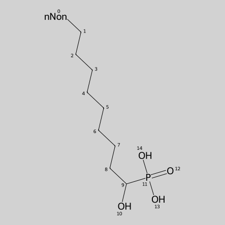 CCCCCCCCCCCCCCCCCC(O)P(=O)(O)O